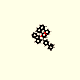 CC1(C)c2ccccc2-c2cccc(N(c3ccc(C45CCC(CC4)C5)cc3)c3cccc(-c4cccc5cccc(-c6ccccc6)c45)c3)c21